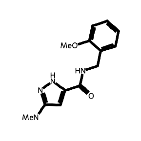 CNc1cc(C(=O)NCc2ccccc2OC)[nH]n1